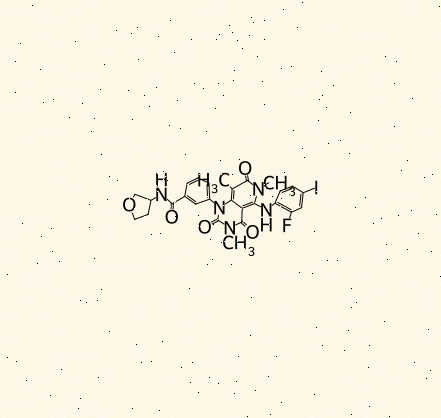 Cc1c(=O)n(C)c(Nc2ccc(I)cc2F)c2c(=O)n(C)c(=O)n(-c3cccc(C(=O)NC4CCOC4)c3)c12